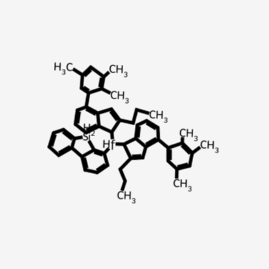 CCCC1=Cc2c(-c3cc(C)cc(C)c3C)cccc2[CH]1[Hf]([c]1cccc2c1[SiH2]c1ccccc1-2)[CH]1C(CCC)=Cc2c(-c3cc(C)cc(C)c3C)cccc21